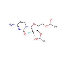 CC(C)C(=O)OCC1OC(n2ccc(N)nc2=O)C(C)(F)C1OC(=O)C(C)C